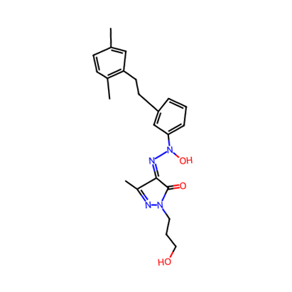 CC1=NN(CCCO)C(=O)C1=NN(O)c1cccc(CCc2cc(C)ccc2C)c1